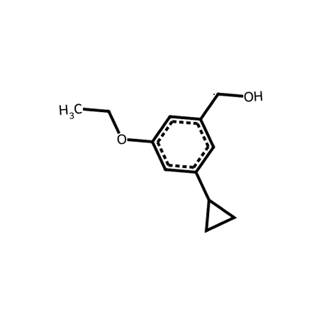 CCOc1cc([CH]O)cc(C2CC2)c1